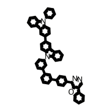 c1ccc(-n2c3ccccc3c3cc(-c4ccc5c(c4)c4ccccc4n5-c4cccc(-c5cccc(-c6ccc(-c7nncc8c7oc7ccccc78)cc6)c5)c4)ccc32)cc1